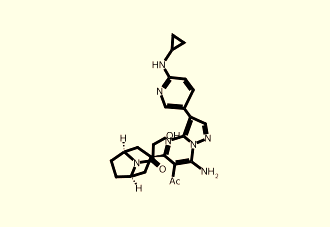 CC(=O)c1c([C@H]2C[C@H]3CC[C@@H](C2)N3C(=O)CO)nc2c(-c3ccc(NC4CC4)nc3)cnn2c1N